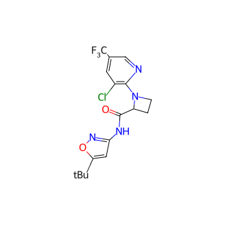 CC(C)(C)c1cc(NC(=O)C2CCN2c2ncc(C(F)(F)F)cc2Cl)no1